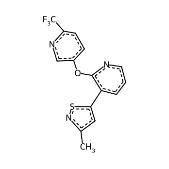 Cc1cc(-c2cccnc2Oc2ccc(C(F)(F)F)nc2)sn1